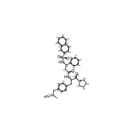 CCCN(C)Cc1ccc(CC(NC(=O)CC(NS(=O)(=O)c2ccc3ccccc3c2)c2ccccc2)C(=O)N2CCCC2)cc1